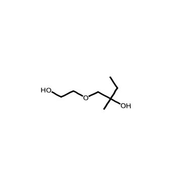 CCC(C)(O)COCCO